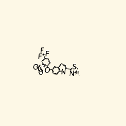 C[C@H]1CSC(c2ccc3cc(Oc4ccc(C(F)(F)F)cc4[N+](=O)[O-])ccc3n2)=N1